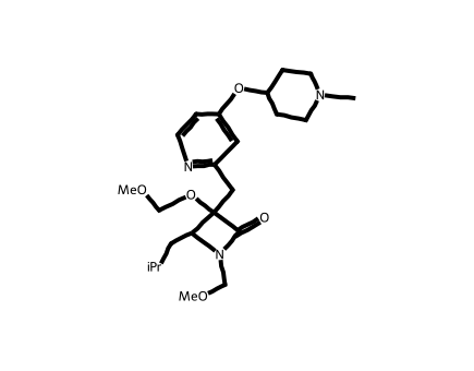 COCOC1(Cc2cc(OC3CCN(C)CC3)ccn2)C(=O)N(COC)C1CC(C)C